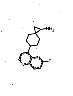 NC1CC12CCC(c1ccnc3ccc(F)cc13)CC2